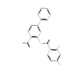 O=C(Nc1cc(-c2ccccc2)ccc1C(=O)O)c1ccc(F)cc1F